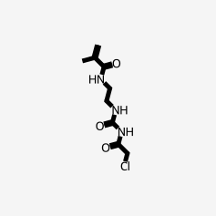 C=C(C)C(=O)NCCNC(=O)NC(=O)CCl